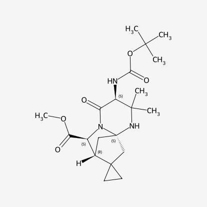 COC(=O)[C@@H]1[C@@H]2C[C@]3(CC24CC4)NC(C)(C)[C@H](NC(=O)OC(C)(C)C)C(=O)N13